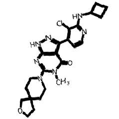 Cn1c(N2CCC3(CCOC3)CC2)nc2[nH]nc(-c3ccnc(NC4CCC4)c3Cl)c2c1=O